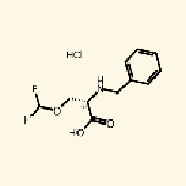 Cl.O=C(O)[C@H](COC(F)F)NCc1ccccc1